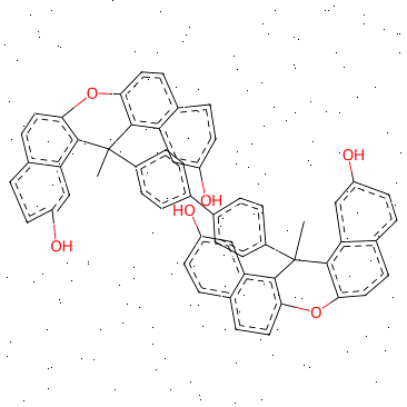 CC1(c2ccc(-c3ccc(C4(C)c5c(ccc6ccc(O)cc56)Oc5ccc6ccc(O)cc6c54)cc3)cc2)c2c(ccc3ccc(O)cc23)Oc2ccc3ccc(O)cc3c21